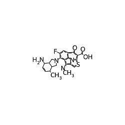 CN=c1c2c(N3CC4C(C)C=CC(N)C4C3)c(F)cc3c(=O)c(C(=O)O)c4scc1n4c32